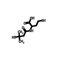 CC(C)(S)CC(=O)NC(CCS)C(=O)O